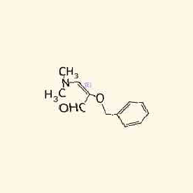 CN(C)/C=C(\C=O)OCc1ccccc1